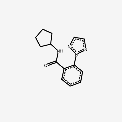 O=C(NC1CCCC1)c1ccccc1-n1nccn1